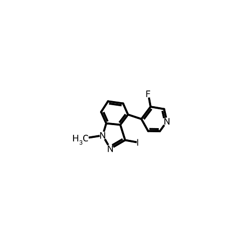 Cn1nc(I)c2c(-c3ccncc3F)cccc21